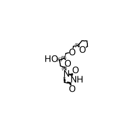 O=c1ccn([C@H]2C[C@H](O)[C@@H](COC[C@H]3CCCO3)O2)c(=O)[nH]1